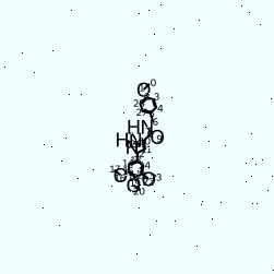 COc1ccc(CNC(=O)c2cc(-c3cc(OC)c(OC)c(OC)c3)n[nH]2)cc1